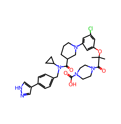 CC(C)(Oc1cc(Cl)cc(N2CCCC(C(=O)N(Cc3ccc(-c4cn[nH]c4)cc3)C3CC3)C2)c1)C(=O)N1CCN(C(=O)O)CC1